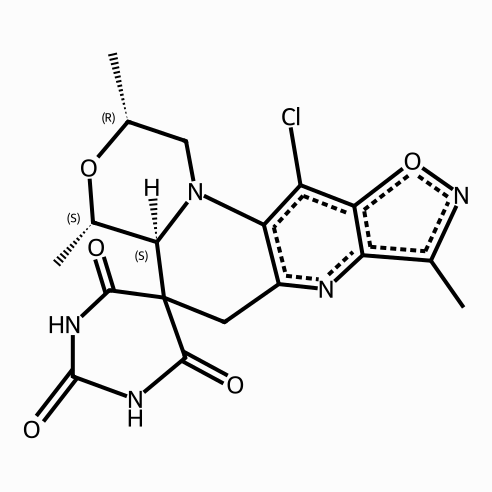 Cc1noc2c(Cl)c3c(nc12)CC1(C(=O)NC(=O)NC1=O)[C@H]1[C@H](C)O[C@H](C)CN31